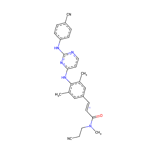 Cc1cc(/C=C/C(=O)N(C)CCC#N)cc(C)c1Nc1ccnc(Nc2ccc(C#N)cc2)n1